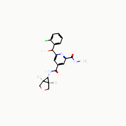 CNC(=O)c1cc(C(=O)N[C@H]2[C@@H]3COC[C@@H]32)cc(C(O)c2ccccc2Cl)n1